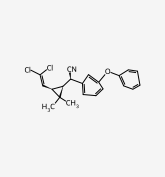 CC1(C)[C@H]([C@@H](C#N)c2cccc(Oc3ccccc3)c2)[C@@H]1C=C(Cl)Cl